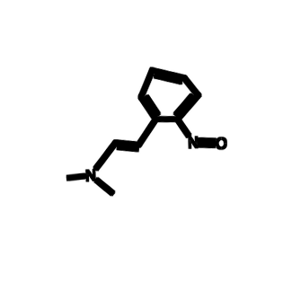 CN(C)C=Cc1ccccc1N=O